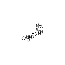 Cc1nnc2sc3c(NCc4ccc(C(=O)NC5CCCCC5)cc4)ncnc3c2c1C